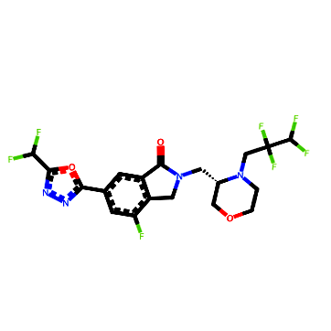 O=C1c2cc(-c3nnc(C(F)F)o3)cc(F)c2CN1C[C@H]1COCCN1CC(F)(F)C(F)F